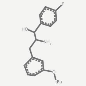 CC(C)(C)Oc1cccc(CC(N)C(O)c2ccc(F)cc2)c1